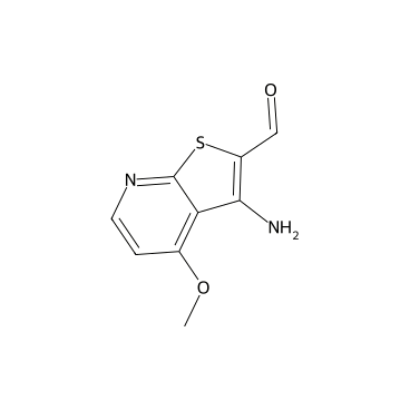 COc1ccnc2sc(C=O)c(N)c12